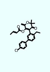 C=C1OC(C)(C)C(=O)C(c2cc(-c3ccc(Cl)cc3)ccc2CC)=C1OC(=O)/C=C/C